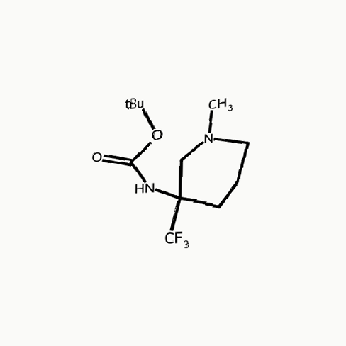 CN1CCCC(NC(=O)OC(C)(C)C)(C(F)(F)F)C1